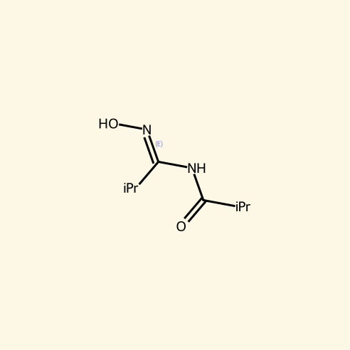 CC(C)C(=O)N/C(=N/O)C(C)C